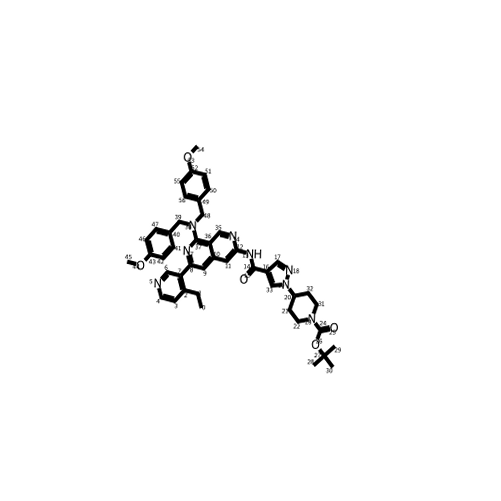 CCc1ccncc1-c1cc2cc(NC(=O)c3cnn(C4CCN(C(=O)OC(C)(C)C)CC4)c3)ncc2c(N(Cc2ccc(OC)cc2)Cc2ccc(OC)cc2)n1